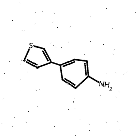 Nc1ccc(-c2c[c]sc2)cc1